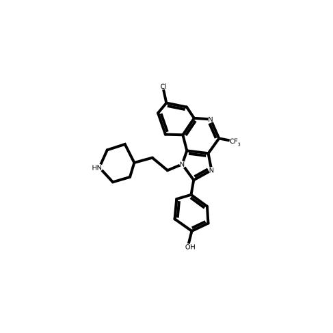 Oc1ccc(-c2nc3c(C(F)(F)F)nc4cc(Cl)ccc4c3n2CCC2CCNCC2)cc1